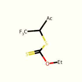 CCOC(=S)SC(C(C)=O)C(F)(F)F